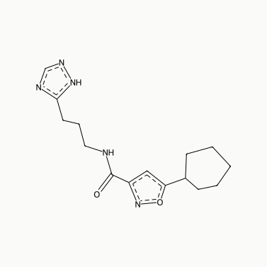 O=C(NCCCc1ncn[nH]1)c1cc(C2CCCCC2)on1